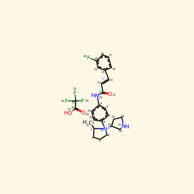 CC1CCC[N+]1(c1ccc(NC(=O)/C=C/c2cccc(F)c2)cc1)C1CCNC1.O=C(O)C(F)(F)F